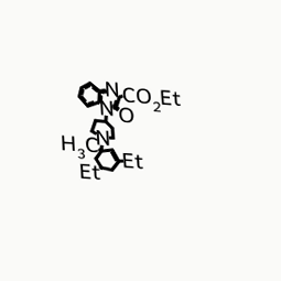 CCOC(=O)c1nc2ccccc2n(C2CCN(C3(C)C=C(CC)CC(CC)C3)CC2)c1=O